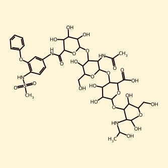 CC(=O)NC1C(OC2C(C(=O)O)OC(OC3C(O)C(CO)OC(O)C3NC(C)O)C(O)C2O)OC(CO)C(O)C1OC1OC(C(=O)Nc2ccc(NS(C)(=O)=O)c(Oc3ccccc3)c2)C(O)C(O)C1O